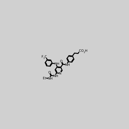 CCNC(=O)Nc1cc(Nc2cccc(C(F)(F)F)c2)c(C(=O)Nc2ccc(CCC(=O)O)cc2)cn1